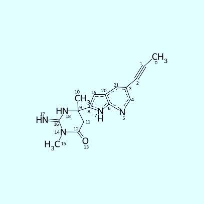 CC#Cc1cnc2[nH]c(C3(C)CC(=O)N(C)C(=N)N3)cc2c1